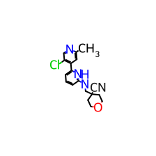 Cc1cc(-c2cccc(NCC3(C#N)CCOCC3)n2)c(Cl)cn1